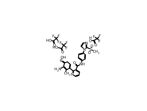 CC1=C(N)C(=NO)CC=C1c1ncccc1C(=O)Nc1ccc(-n2ccnc2S(C)(=O)=O)cc1.O=C(O)C(F)(F)F.O=C(O)C(F)(F)F.O=C(O)C(F)(F)F